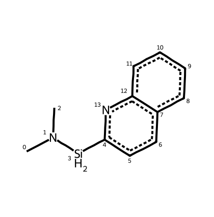 CN(C)[SiH2]c1ccc2ccccc2n1